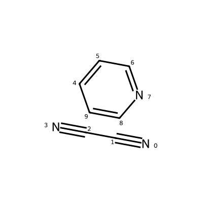 N#CC#N.c1ccncc1